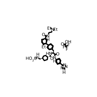 CCc1ccc(C(=O)NCCN(CC)CC)cc1-c1ccc(C[C@H](NC(=O)[C@H]2CC[C@H](CNC(=O)O)CC2)C(=O)Nc2ccc(-c3nn[nH]n3)cc2)cc1.O=C(O)C(F)(F)F